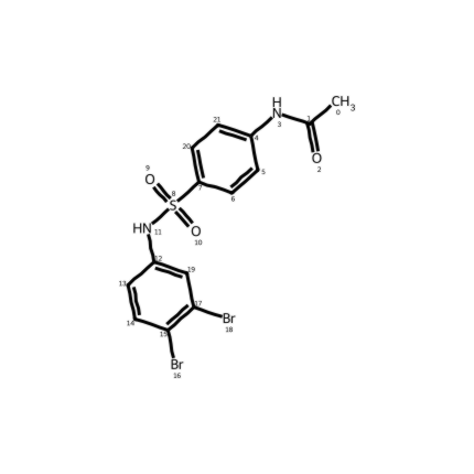 CC(=O)Nc1ccc(S(=O)(=O)Nc2ccc(Br)c(Br)c2)cc1